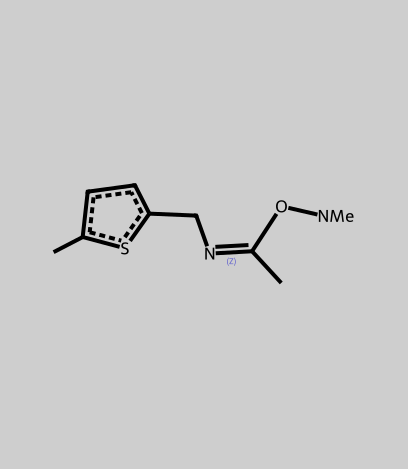 CNO/C(C)=N\Cc1ccc(C)s1